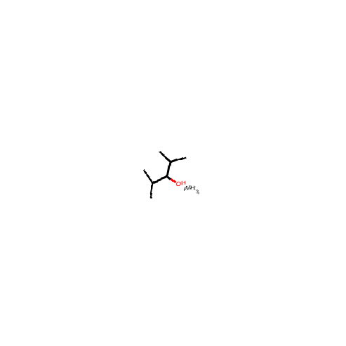 CC(C)C(O)C(C)C.[AlH3]